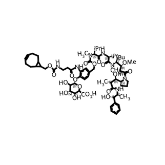 CC[C@H](C)[C@@H]([C@@H](CC(=O)N1CCC[C@H]1[C@H](OC)[C@@H](C)C(=O)N[C@H](C)[C@@H](O)c1ccccc1)OC)N(C)C(=O)[C@@H](NC(=O)[C@H](C(C)C)N(C)C(=O)OCc1ccc(O[C@@H]2OC(C(=O)O)[C@@H](O)[C@H](O)C2O)c(NC(=O)CCNC(=O)OCC2C3CCC#CCCC32)c1)C(C)C